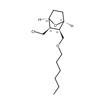 CCCCCCOC[C@H]1[C@@H](CCl)[C@H]2CC[C@@H]1O2